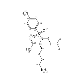 CC(C)CCN([C@@H](CCCCN)C(=O)O)S(=O)(=O)c1ccc(N)cc1